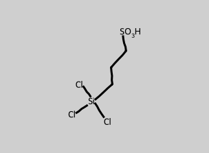 O=S(=O)(O)CCC[Si](Cl)(Cl)Cl